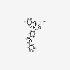 CCOC(=O)C(=O)N(Cc1ccccc1)Cc1ccc(C(=O)OCc2ccccc2)cc1